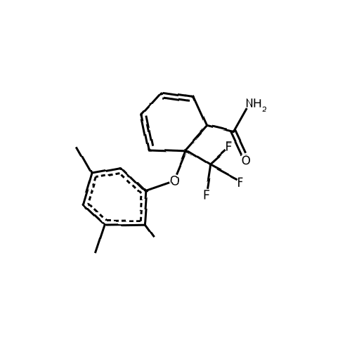 Cc1cc(C)c(C)c(OC2(C(F)(F)F)C=CC=CC2C(N)=O)c1